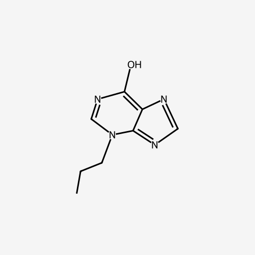 CCCn1cnc(O)c2ncnc1-2